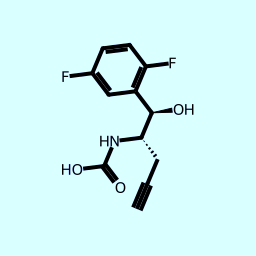 C#CC[C@H](NC(=O)O)[C@H](O)c1cc(F)ccc1F